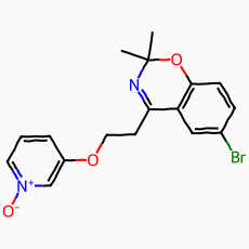 CC1(C)N=C(CCOc2ccc[n+]([O-])c2)c2cc(Br)ccc2O1